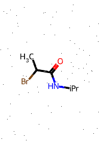 CC(C)NC(=O)C(C)Br